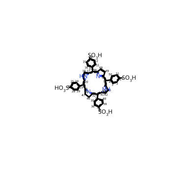 O=S(=O)(O)c1ccc(-c2c3nc(c(-c4ccc(S(=O)(=O)O)cc4)c4ccc([nH]4)c(-c4ccc(S(=O)(=O)O)cc4)c4nc(c(-c5ccc(S(=O)(=O)O)cc5)c5ccc2[nH]5)CC4)C=C3)cc1